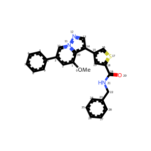 COc1cc(-c2ccccc2)cn2ncc(-c3csc(C(=O)NCc4ccccc4)c3)c12